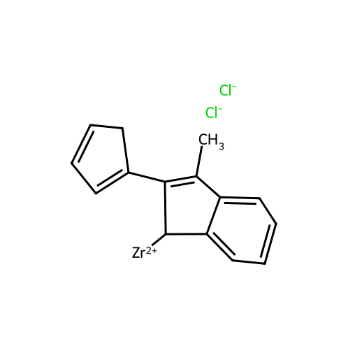 CC1=C(C2=CC=CC2)[CH]([Zr+2])c2ccccc21.[Cl-].[Cl-]